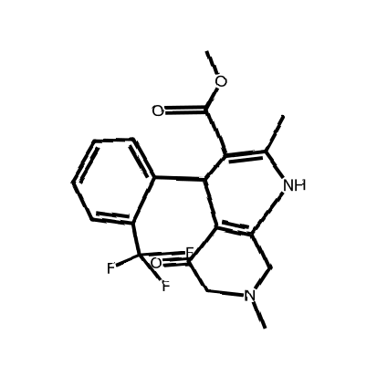 COC(=O)C1=C(C)NC2=C(C(=O)CN(C)C2)C1c1ccccc1C(F)(F)F